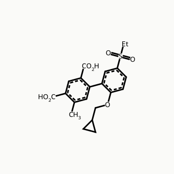 CCS(=O)(=O)c1ccc(OCC2CC2)c(-c2cc(C)c(C(=O)O)cc2C(=O)O)c1